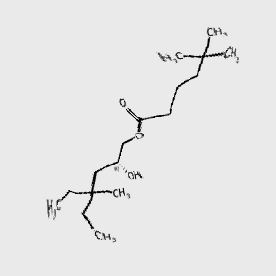 CCC(C)(CC)C[C@@H](O)COC(=O)CCCC(C)(C)C